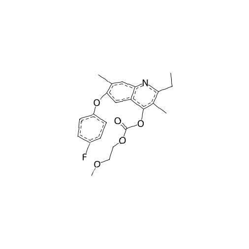 CCc1nc2cc(C)c(Oc3ccc(F)cc3)cc2c(OC(=O)OCCOC)c1C